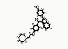 COc1ccc(-c2sc3ccccc3c2C(=O)c2ccc(OCCN3CCCCCC3)cc2)cc1